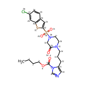 CCCCOC(=O)n1cncc1CCCN1CCN(S(=O)(=O)c2cc3ccc(Cl)cc3s2)CC1=O